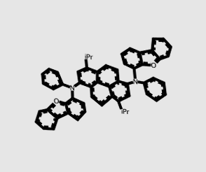 CC(C)c1cc(N(c2ccccc2)c2cccc3c2oc2ccccc23)c2ccc3c(C(C)C)cc(N(c4ccccc4)c4cccc5c4oc4ccccc45)c4ccc1c2c34